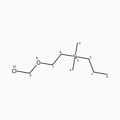 CCC[Si](C)(C)CCOCCl